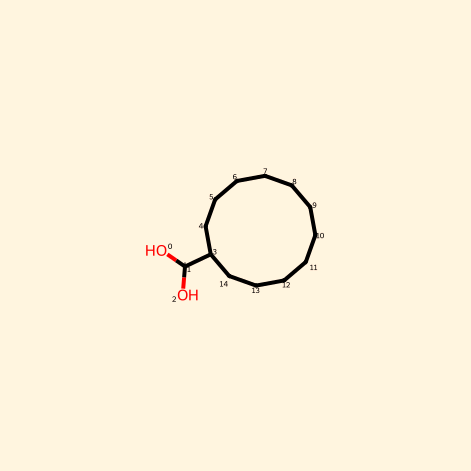 O[C](O)C1CCCCCCCCCCC1